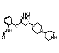 Cl.Cl.O=CNc1ccccc1OC(=O)CNN1CCN(C2CCNCC2)CC1